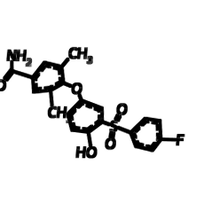 Cc1cc(C(N)=O)cc(C)c1Oc1ccc(O)c(S(=O)(=O)c2ccc(F)cc2)c1